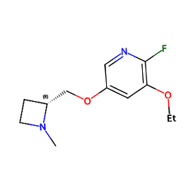 CCOc1cc(OC[C@H]2CCN2C)cnc1F